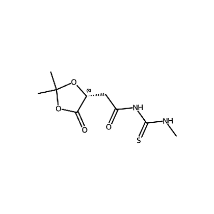 CNC(=S)NC(=O)C[C@H]1OC(C)(C)OC1=O